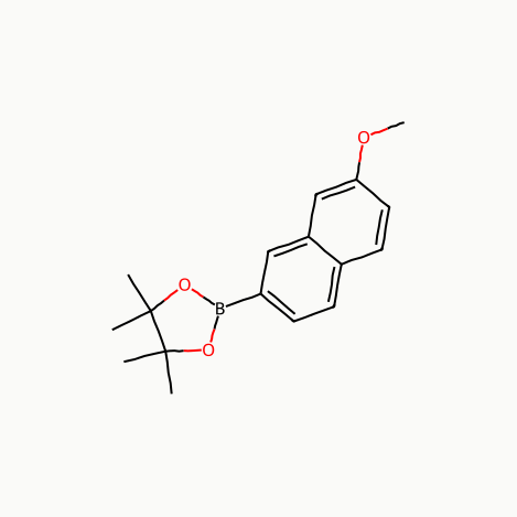 COc1ccc2ccc(B3OC(C)(C)C(C)(C)O3)cc2c1